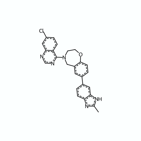 Cc1nc2ccc(-c3ccc4c(c3)CN(c3ncnc5cc(Cl)ccc35)CCO4)cc2[nH]1